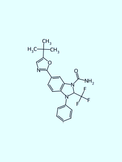 CC(C)(C)c1cnc(-c2ccc3c(c2)N(C(N)=O)C(C(F)(F)F)N3c2cc[c]cc2)o1